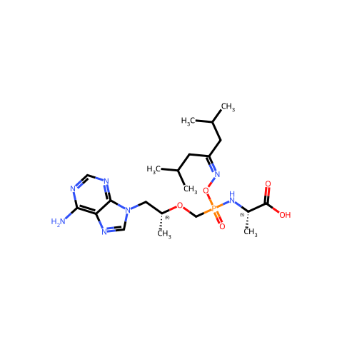 CC(C)CC(CC(C)C)=NOP(=O)(CO[C@H](C)Cn1cnc2c(N)ncnc21)N[C@@H](C)C(=O)O